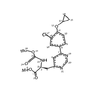 COC(=O)[C@H](Cc1cc(-c2ccc(OC3CC3)c(Cl)c2)ncn1)NC(=O)OC(C)(C)C